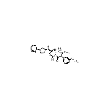 CN(C)C(C(=O)NC(=N)SC(=N)NC1CCN(c2cccnn2)C1)c1cccc(OC(F)(F)F)c1